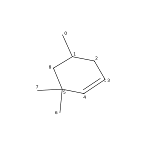 CC1C[C]=CC(C)(C)C1